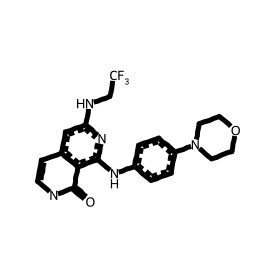 O=C1[N]C=Cc2cc(NCC(F)(F)F)nc(Nc3ccc(N4CCOCC4)cc3)c21